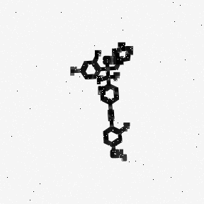 Cc1ccc(C#Cc2ccc(C(F)(F)C(O)(Cn3cnnn3)c3ccc(F)cc3F)nc2)c(F)c1